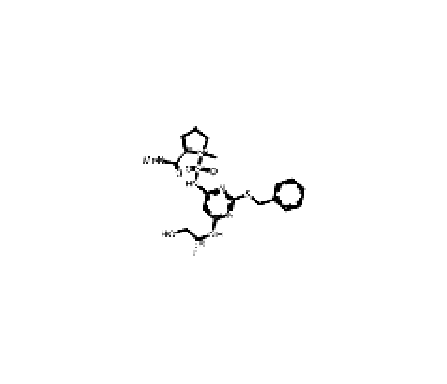 CNC(=O)[C@H]1CCC[N+]1(C)S(=O)(=O)Nc1cc(N[C@H](C)CO)nc(SCc2ccccc2)n1